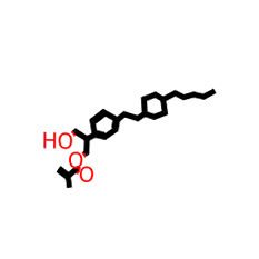 C=C(C)C(=O)OCC(CO)c1ccc(CCC2CCC(CCCCC)CC2)cc1